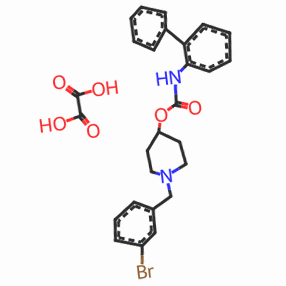 O=C(Nc1ccccc1-c1ccccc1)OC1CCN(Cc2cccc(Br)c2)CC1.O=C(O)C(=O)O